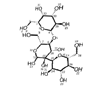 OC[C@H]1O[C@@H](O[C@@H]2[C@@H](CO)OC(O)[C@@](O)([C@H]3O[C@H](CO)[C@@H](O)[C@H](O)[C@H]3O)[C@H]2O)[C@H](O)[C@@H](O)[C@H]1O